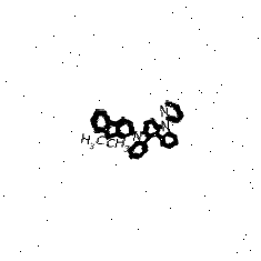 CC1(C)c2ccccc2-c2ccc(-n3c4ccccc4c4c5c6ccccc6n(-c6ccccn6)c5ccc43)cc21